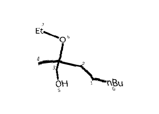 CCCCCCC(C)(O)OCC